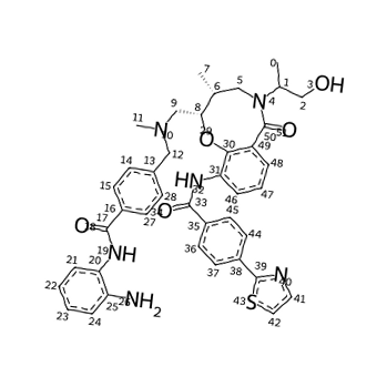 CC(CO)N1C[C@@H](C)[C@@H](CN(C)Cc2ccc(C(=O)Nc3ccccc3N)cc2)Oc2c(NC(=O)c3ccc(-c4nccs4)cc3)cccc2C1=O